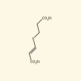 CCOC(=O)C=CSCCC(=O)OCC